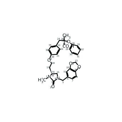 CN1C(=O)N(Cc2ccc3c(c2)OCO3)C[C@@H]1CCOc1ccc(C[C@](C)(Oc2ccccc2)C(=O)O)cc1